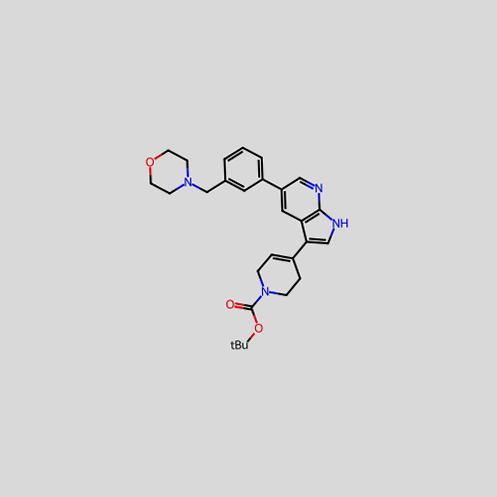 CC(C)(C)OC(=O)N1CC=C(c2c[nH]c3ncc(-c4cccc(CN5CCOCC5)c4)cc23)CC1